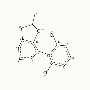 CC1Cc2cccc(-c3c(Cl)cccc3Cl)c2O1